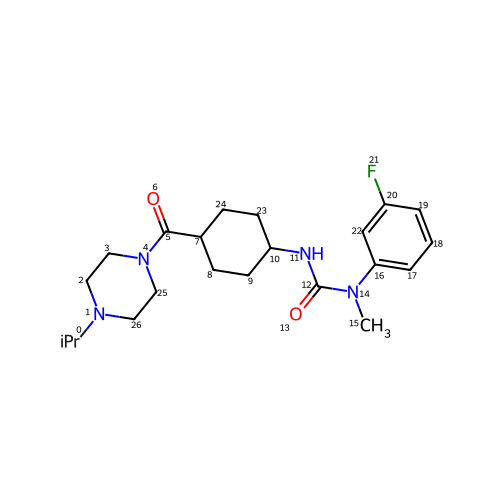 CC(C)N1CCN(C(=O)C2CCC(NC(=O)N(C)c3cccc(F)c3)CC2)CC1